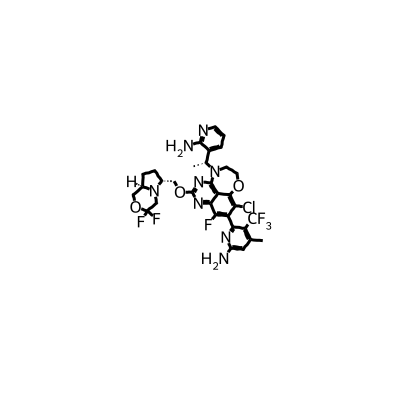 Cc1cc(N)nc(-c2c(Cl)c3c4c(nc(OC[C@H]5CC[C@@H]6COC(F)(F)CN56)nc4c2F)N([C@H](C)c2cccnc2N)CCO3)c1C(F)(F)F